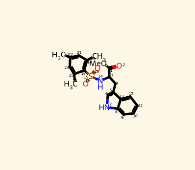 COC(=O)C(Cc1c[nH]c2ccccc12)NS(=O)(=O)c1c(C)cc(C)cc1C